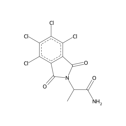 CC(C(N)=O)N1C(=O)c2c(Cl)c(Cl)c(Cl)c(Cl)c2C1=O